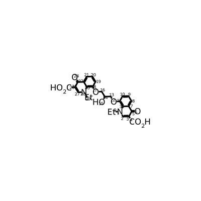 CCn1cc(C(=O)O)c(=O)c2cccc(OCC(O)COc3cccc4c(=O)c(C(=O)O)cn(CC)c34)c21